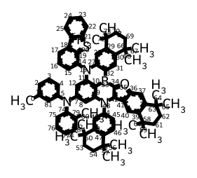 Cc1cccc(N(c2cc3c4c(c2)N(c2cccc5c2sc2ccccc25)c2cc5c(cc2B4c2oc4cc6c(cc4c2N3c2ccc3c(c2)C(C)(C)CCC3(C)C)C(C)(C)CCC6(C)C)C(C)(C)CCC5(C)C)c2ccccc2C)c1